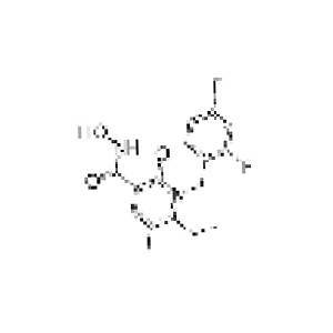 CCc1c(C)cc(C(=O)NO)c(=O)n1Cc1ccc(F)cc1F